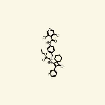 CCOC(=O)[C@H](Cc1ccc(NC(=O)c2c(Cl)cncc2Cl)cc1)NC1=C(c2cccnc2)C(=O)C12CCCCC2